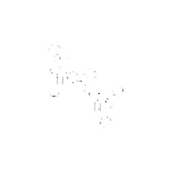 c1ccc(C2=NC(c3ccccc3)NC(c3cccc(-n4c5ccccc5c5cc6c7c8oc9ccccc9c8ccc7n(-c7ccccc7)c6cc54)c3)=N2)cc1